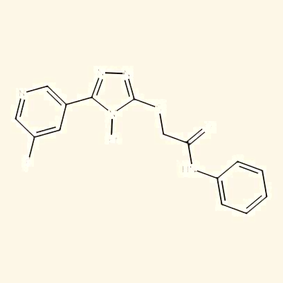 CCn1c(SCC(=O)Nc2ccccc2)nnc1-c1cncc(F)c1